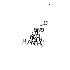 Cc1nc(N)c2nc(C)n(CCCNC(=O)[C@@H]3C[C@H]3c3ccccc3)c2c1C